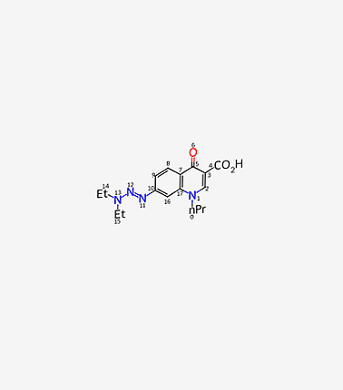 CCCn1cc(C(=O)O)c(=O)c2ccc(/N=N/N(CC)CC)cc21